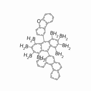 Bc1c(B)c(B)c2c(-c3cc4ccc5ccccc5c4c4ccccc34)c3c(B)c(B)c(B)c(B)c3c(-c3ccc4oc5ccccc5c4c3)c2c1B